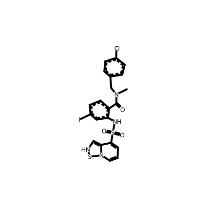 CN(Cc1ccc(Cl)cc1)C(=O)c1ccc(I)cc1NS(=O)(=O)C1=CC=CN2SNC=C12